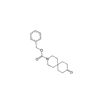 O=C1CCC2(CC1)CCN(C(=O)OCc1ccccc1)CC2